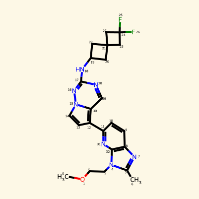 COCCn1c(C)nc2ccc(-c3ccn4nc(NC5CC6(C5)CC(F)(F)C6)ncc34)nc21